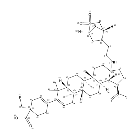 C=C(C)[C@@H]1CC[C@]2(NCCN3C[C@@H]4C[C@@H]3CS4(=O)=O)CC[C@]3(C)[C@H](CC[C@@H]4[C@@]5(C)CC=C(C6=CC[C@](CF)(C(=O)O)CC6)C(C)(C)[C@@H]5CC[C@]43C)[C@@H]12